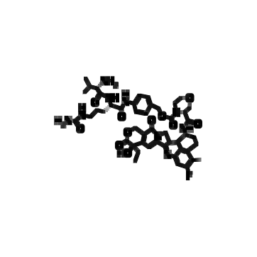 CC[C@]1(O)C(=O)OCc2c1cc1n(c2=O)Cc2c-1nc1cc(F)c(C)c3c1c2[C@H](NC(=O)C1COCCN1C(=O)OCc1ccc(NC(=O)[C@H](CCCNC(N)=O)NC(=O)[C@@H](N)C(C)C)cc1)CC3